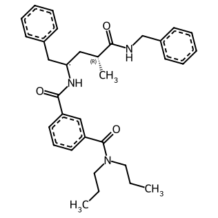 CCCN(CCC)C(=O)c1cccc(C(=O)N[C](Cc2ccccc2)C[C@@H](C)C(=O)NCc2ccccc2)c1